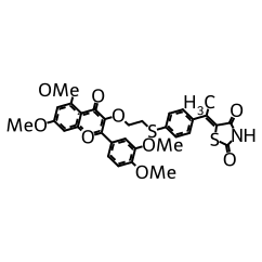 COc1cc(OC)c2c(=O)c(OCCSc3ccc(/C(C)=C4\SC(=O)NC4=O)cc3)c(-c3ccc(OC)c(OC)c3)oc2c1